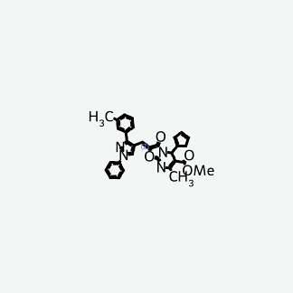 COC(=O)C1=C(C)N=c2o/c(=C\c3cn(-c4ccccc4)nc3-c3cccc(C)c3)c(=O)n2C1C1=CC=CC1